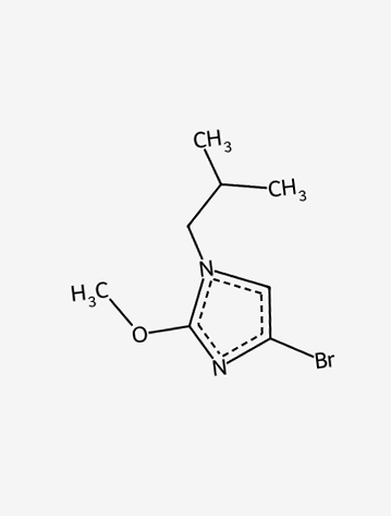 COc1nc(Br)cn1CC(C)C